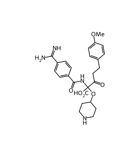 COc1ccc(CCC(=O)C(NC(=O)c2ccc(C(=N)N)cc2)(OC2CCNCC2)C(=O)O)cc1